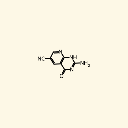 N#Cc1cnc2[nH]c(N)nc(=O)c2c1